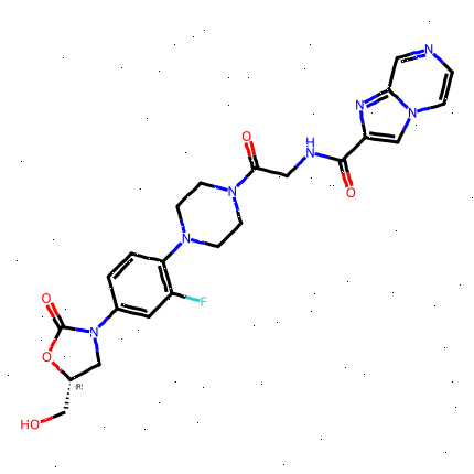 O=C(NCC(=O)N1CCN(c2ccc(N3C[C@H](CO)OC3=O)cc2F)CC1)c1cn2ccncc2n1